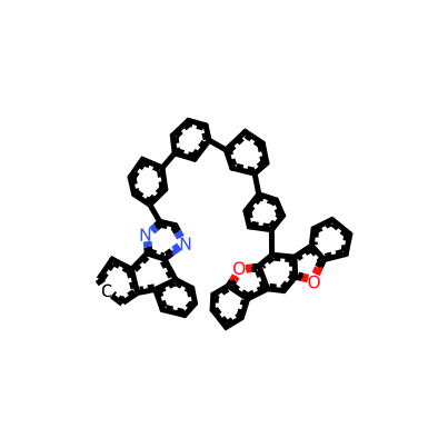 c1cc(-c2ccc(-c3c4oc5ccccc5c4cc4oc5ccccc5c34)cc2)cc(-c2cccc(-c3cccc(-c4cnc5c6ccccc6c6ccccc6c5n4)c3)c2)c1